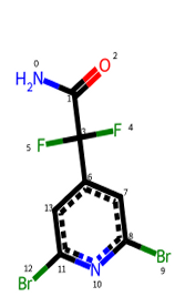 NC(=O)C(F)(F)c1cc(Br)nc(Br)c1